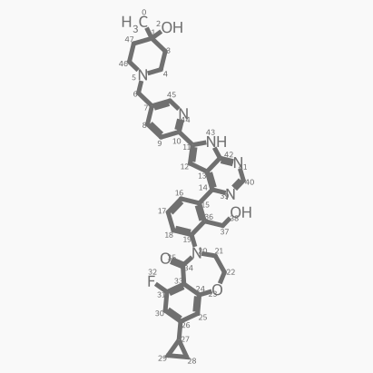 CC1(O)CCN(Cc2ccc(-c3cc4c(-c5cccc(N6CCOc7cc(C8CC8)cc(F)c7C6=O)c5CO)ncnc4[nH]3)nc2)CC1